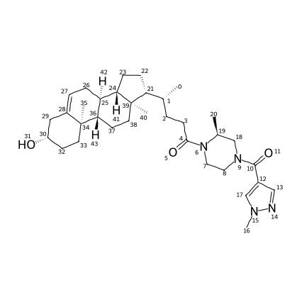 C[C@H](CCC(=O)N1CCN(C(=O)c2cnn(C)c2)C[C@@H]1C)[C@H]1CC[C@H]2[C@@H]3CC=C4C[C@@H](O)CC[C@]4(C)[C@H]3CC[C@]12C